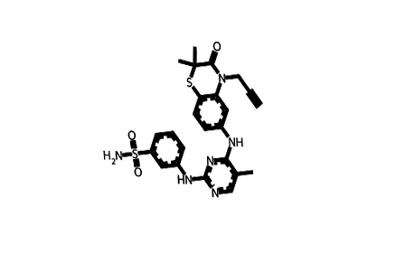 C#CCN1C(=O)C(C)(C)Sc2ccc(Nc3nc(Nc4cccc(S(N)(=O)=O)c4)ncc3C)cc21